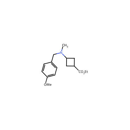 CCOC(=O)C1CC(N(C)Cc2ccc(OC)cc2)C1